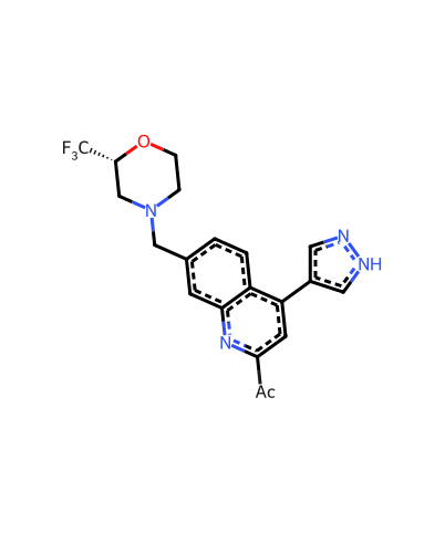 CC(=O)c1cc(-c2cn[nH]c2)c2ccc(CN3CCO[C@@H](C(F)(F)F)C3)cc2n1